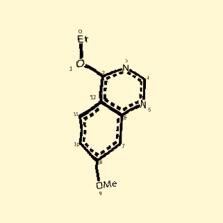 CCOc1ncnc2cc(OC)ccc12